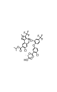 CC(C)OC(=O)c1cc(-c2nn(C)c(C(F)(F)F)c2Br)c(F)cc1Cl.C[C@H](OC(=O)c1cc(Oc2ccc(C(F)(F)F)cc2Cl)ccc1Cl)C(=O)O